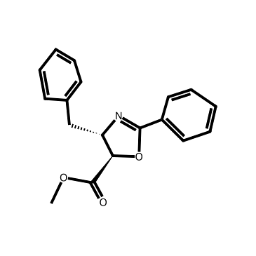 COC(=O)[C@@H]1OC(c2ccccc2)=N[C@H]1Cc1ccccc1